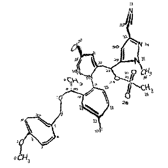 COc1ccc(CO[C@H](C)c2cc(F)ccc2-n2nc(Cl)cc2C(OS(C)(=O)=O)c2cc(C#N)nn2C)cc1